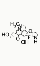 CN1CCc2c(OC3CCNC3)c(F)cc3c(=O)c(C(=O)O)cn1c23.Cl